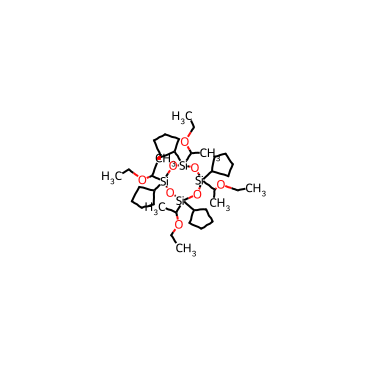 CCOC(C)[Si]1(C2CCCC2)O[Si](C2CCCC2)(C(C)OCC)O[Si](C2CCCC2)(C(C)OCC)O[Si](C2CCCC2)(C(C)OCC)O1